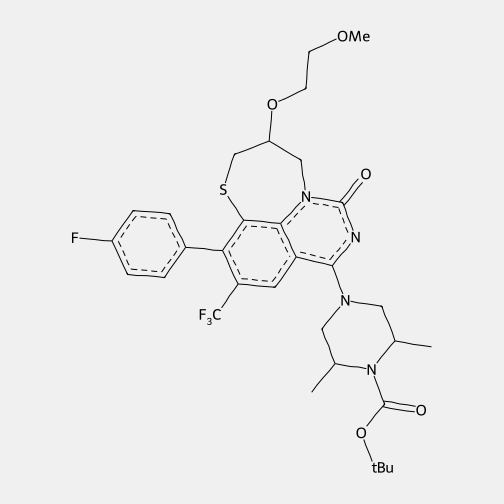 COCCOC1CSc2c(-c3ccc(F)cc3)c(C(F)(F)F)cc3c(N4CC(C)N(C(=O)OC(C)(C)C)C(C)C4)nc(=O)n(c23)C1